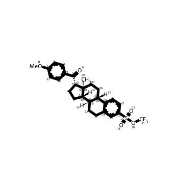 COc1ccc(C(=O)[C@H]2CC[C@H]3[C@@H]4CCc5cc(S(=O)(=O)OC(F)(F)F)ccc5[C@H]4CC[C@]23C)cc1